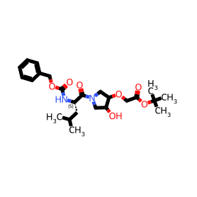 CC(C)C[C@H](NC(=O)OCc1ccccc1)C(=O)N1CC(O)C(OCC(=O)OC(C)(C)C)C1